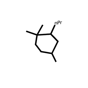 [CH2]CCC1CC(C)CCC1(C)C